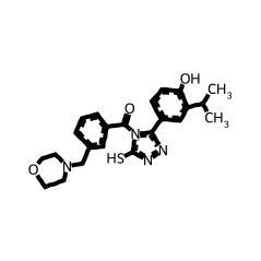 CC(C)c1cc(-c2nnc(S)n2C(=O)c2cccc(CN3CCOCC3)c2)ccc1O